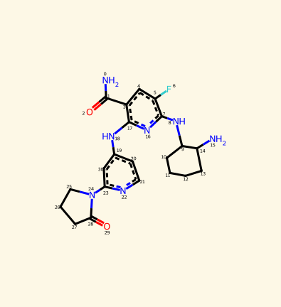 NC(=O)c1cc(F)c(NC2CCCCC2N)nc1Nc1ccnc(N2CCCC2=O)c1